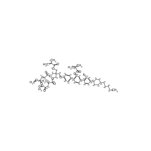 C=C(C)C(=O)OCC(COC(=O)/C=C/C(=O)OC)(COC(=O)C(=C)CC(=O)OC)COc1ccc(-c2ccc(-c3ccc(C4CCC(CCCCC)CC4)cc3F)cc2OC(=O)C(=C)C)cc1